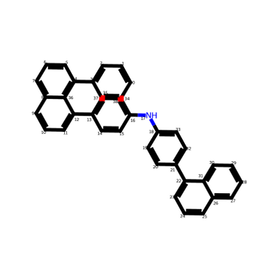 c1ccc(-c2cccc3cccc(-c4ccc(Nc5ccc(-c6cccc7ccccc67)cc5)cc4)c23)cc1